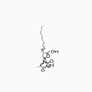 CCCCCCCCSSC1C[C@H](n2cc(C)c(=O)[nH]c2=O)O[C@@H]1CO